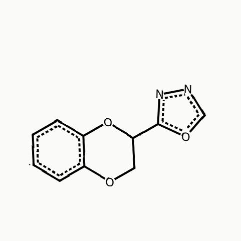 [c]1ccc2c(c1)OCC(c1nnco1)O2